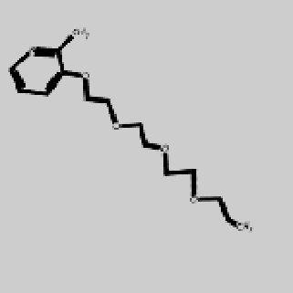 CCCOCCOCCOCCOc1cccnc1C